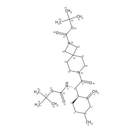 C=C1CC(C)CC[C@H]1[C@H](NC(=O)OC(C)(C)C)C(=O)N1CCC2(CC1)CN(C(=O)OC(C)(C)C)C2